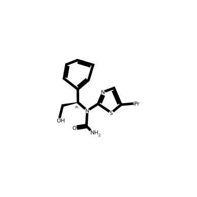 CC(C)c1cnc(N(C(N)=O)[C@@H](CO)c2ccccc2)s1